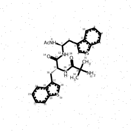 CC(=O)N[C@@H](Cc1csc2ccccc12)NC(=O)[C@@H](Cc1csc2ccccc12)NC(=O)C(C)(C)N